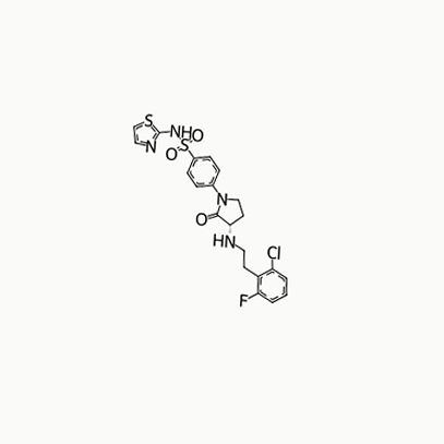 O=C1[C@@H](NCCc2c(F)cccc2Cl)CCN1c1ccc(S(=O)(=O)Nc2nccs2)cc1